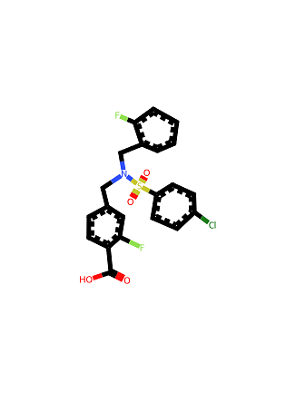 O=C(O)c1ccc(CN(Cc2ccccc2F)S(=O)(=O)c2ccc(Cl)cc2)cc1F